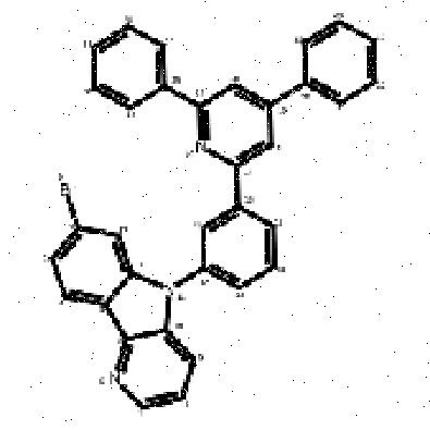 Brc1ccc2c3ncccc3n(-c3cccc(-c4cc(-c5ccccc5)cc(-c5ccccc5)n4)c3)c2c1